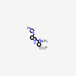 CC(=O)N1CCN(Cc2cccc3[nH]c(-c4nn(C)c5cc(C(=O)O)ccc45)cc23)CC1